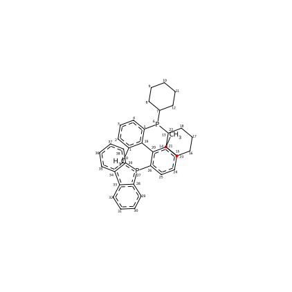 Cc1cccc(P(C2CCCCC2)C2CCCCC2)c1-c1c(C)cccc1-p1c2ccccc2c2ccccc21